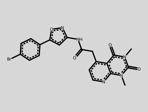 Cn1c(=O)c2c(CC(=O)Nc3cc(-c4ccc(Br)cc4)on3)ccnc2n(C)c1=O